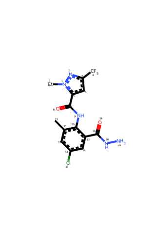 CCn1nc(C(F)(F)F)cc1C(=O)Nc1c(C)cc(Cl)cc1C(=O)NN